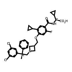 C[C@](CN1CC(COc2cc(F)c(C(=O)N[C@H](C(=O)O)C3CC3)cc2C2CC2)C1)(c1ccccc1)c1cc(Cl)cc(Cl)c1